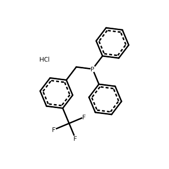 Cl.FC(F)(F)c1cccc(CP(c2ccccc2)c2ccccc2)c1